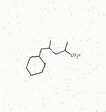 CC(CC1CCCCC1)CC(C)C(=O)O